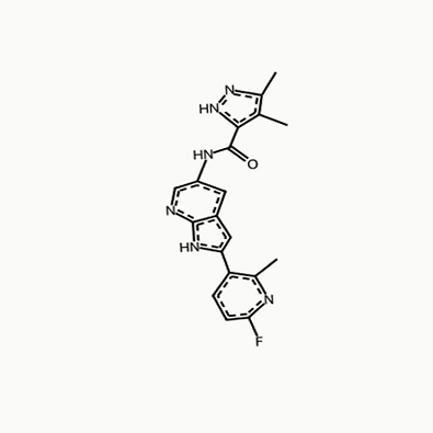 Cc1nc(F)ccc1-c1cc2cc(NC(=O)c3[nH]nc(C)c3C)cnc2[nH]1